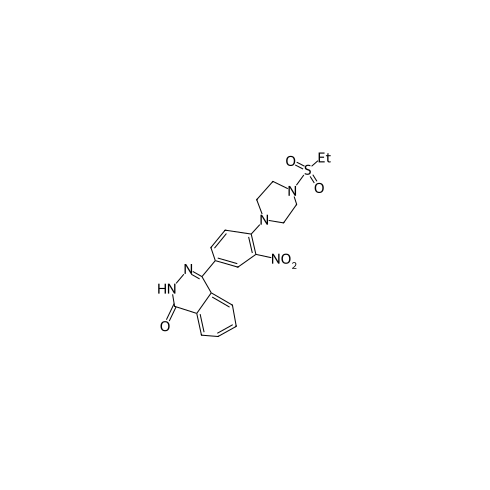 CCS(=O)(=O)N1CCN(c2ccc(-c3n[nH]c(=O)c4ccccc34)cc2[N+](=O)[O-])CC1